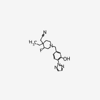 CCC1(CC#N)CCN(Cc2ccc(-n3nccn3)c(O)c2)CC1F